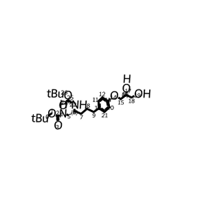 CC(C)(C)OC(=O)NC[C@@H](CCCc1ccc(OC[C@H](O)CO)cc1)NC(=O)OC(C)(C)C